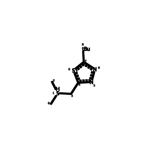 C[SH](C)Cc1nnc(C(C)(C)C)s1